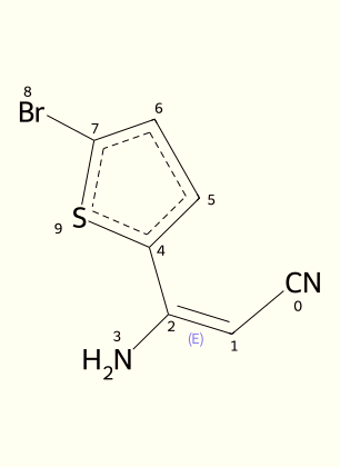 N#C/C=C(/N)c1ccc(Br)s1